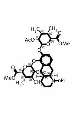 CCCN1CCC[C@@H]2Cc3c(ccc(O[C@@H]4O[C@H](C(=O)OC)[C@@H](C)[C@H](C)[C@H]4OC(C)=O)c3O[C@@H]3O[C@H](C(=O)OC)[C@@H](C)[C@H](C)[C@H]3OC(C)=O)C[C@H]21